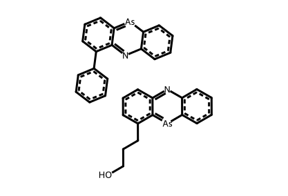 OCCCc1cccc2c1=[As]c1ccccc1N=2.c1ccc(-c2cccc3c2=Nc2ccccc2[As]=3)cc1